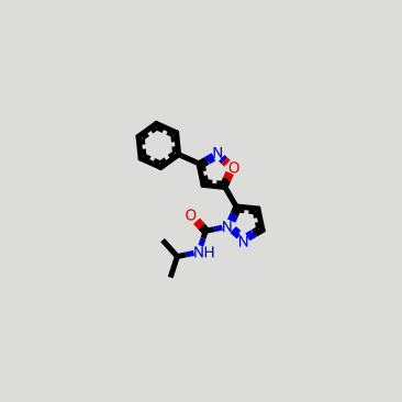 CC(C)NC(=O)n1nccc1-c1cc(-c2ccccc2)no1